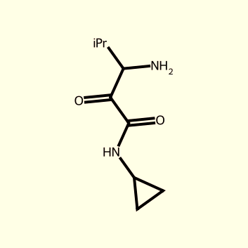 CC(C)C(N)C(=O)C(=O)NC1CC1